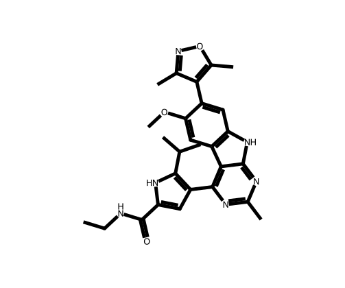 CCNC(=O)c1cc(-c2nc(C)nc3[nH]c4cc(-c5c(C)noc5C)c(OC)cc4c23)c(C(C)C)[nH]1